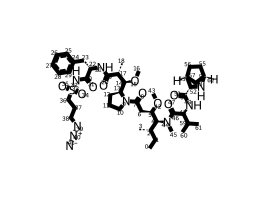 CC[C@H](C)[C@@H]([C@@H](CC(=O)N1CCC[C@H]1[C@H](OC)[C@@H](C)C(=O)N[C@@H](Cc1ccccc1)C(=O)NS(=O)(=O)CCCN=[N+]=[N-])OC)N(C)C(=O)[C@@H](NC(=O)[C@H]1N[C@@H]2CC[C@H]1C2)C(C)C